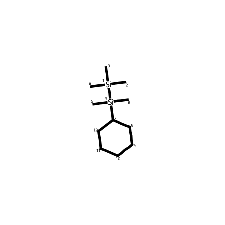 C[Si](C)(C)[Si](C)(C)C1CCCCC1